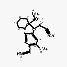 C#CC(=O)N(c1ccc(C=N)c(NC)c1)C1(C(N)=O)CCCCC1